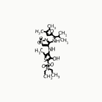 CCN(CC)S(=O)(=O)c1sc(C)c(NC2=CS(=O)(=O)N=C2N[C@@H](c2cc(C)c(C)o2)C(C)C)c1O